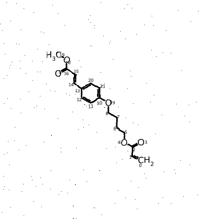 C=CC(=O)OCCCCOc1ccc(C=CC(=O)OC)cc1